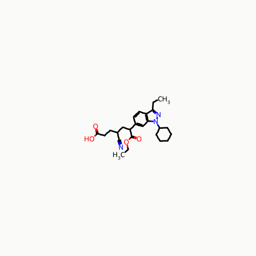 CCOC(=O)C(CC(C#N)CCC(=O)O)c1ccc2c(CC)nn(C3CCCCC3)c2c1